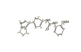 COc1ccccc1NC(=O)Nc1ccc(-c2cnn3c2CCC3)cc1